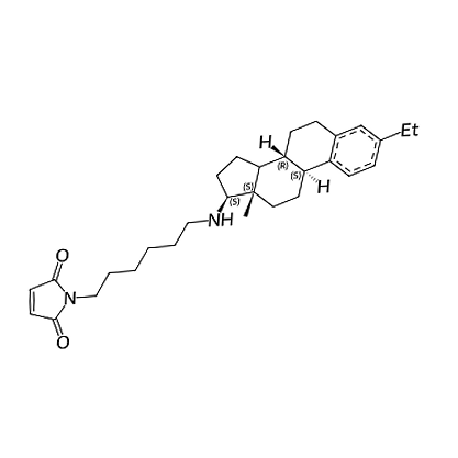 CCc1ccc2c(c1)CC[C@H]1C3CC[C@H](NCCCCCCN4C(=O)C=CC4=O)[C@@]3(C)CC[C@H]21